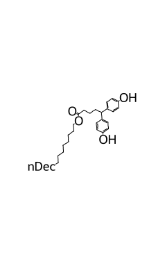 CCCCCCCCCCCCCCCCCCOC(=O)CCCC(c1ccc(O)cc1)c1ccc(O)cc1